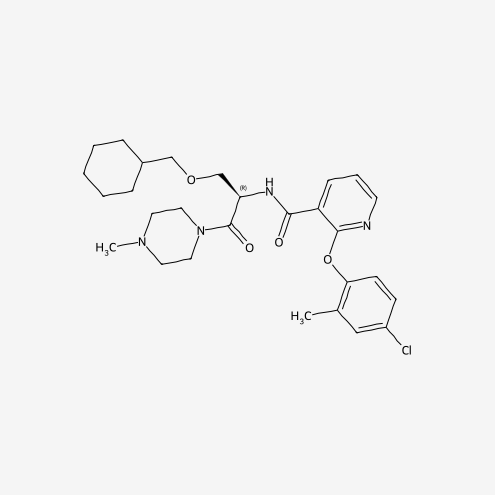 Cc1cc(Cl)ccc1Oc1ncccc1C(=O)N[C@H](COCC1CCCCC1)C(=O)N1CCN(C)CC1